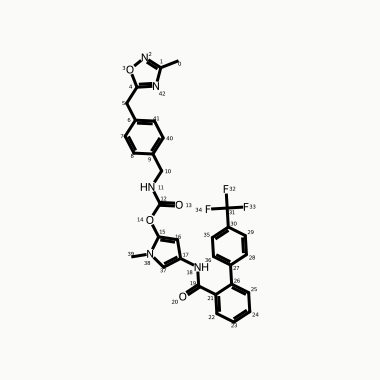 Cc1noc(Cc2ccc(CNC(=O)Oc3cc(NC(=O)c4ccccc4-c4ccc(C(F)(F)F)cc4)cn3C)cc2)n1